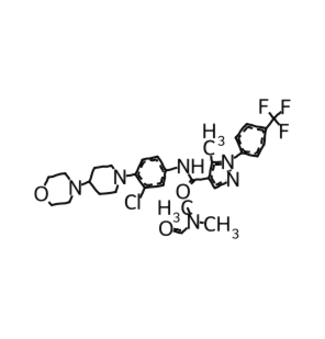 CN(C)C=O.Cc1c(C(=O)Nc2ccc(N3CCC(N4CCOCC4)CC3)c(Cl)c2)cnn1-c1ccc(C(F)(F)F)cc1